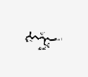 CCCCCCCCCCCC(C)CCCCC(CCC(C)CCC)C[N+](C)(C)CCCCCCCCCC.[Cl-]